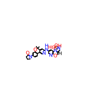 CN1C[C@H]2COc3ncc(Nc4cc5c(cn4)-c4ccc(N6CCCC6=O)cc4OC5(C)C)cc3N2S1(O)O